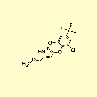 COCc1cc(Oc2c(Cl)cc(C(F)(F)F)cc2Cl)n[nH]1